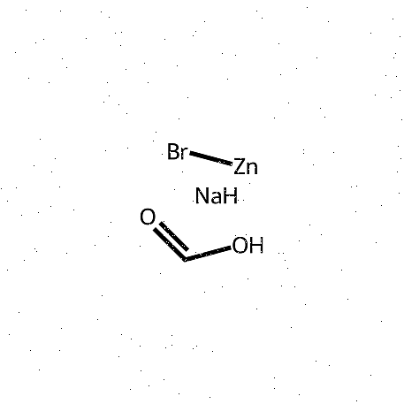 O=CO.[NaH].[Zn][Br]